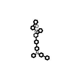 C1=C(c2ccc(-c3ccc(N(c4ccccc4)c4ccc(-c5ccccc5)cc4)cc3)cc2)CCc2c1c1ccccc1n2-c1cccc2c1oc1ccccc12